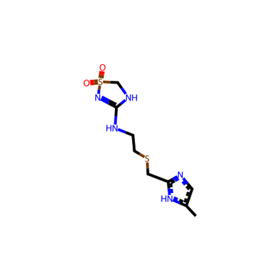 Cc1cnc(CSCCNC2=NS(=O)(=O)CN2)[nH]1